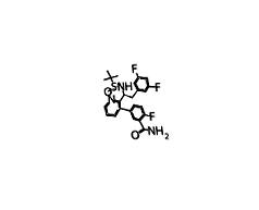 CC(C)(C)[S+]([O-])N[C@@H](Cc1cc(F)cc(F)c1)c1ncccc1-c1ccc(F)c(C(N)=O)c1